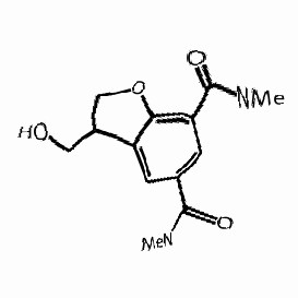 CNC(=O)c1cc(C(=O)NC)c2c(c1)C(CO)CO2